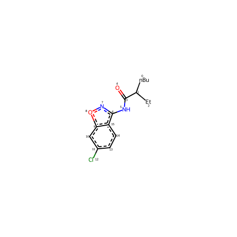 CCCCC(CC)C(=O)Nc1noc2cc(Cl)ccc12